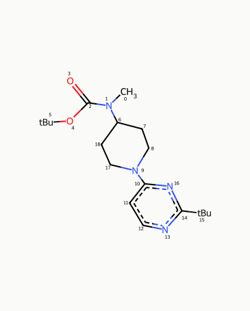 CN(C(=O)OC(C)(C)C)C1CCN(c2ccnc(C(C)(C)C)n2)CC1